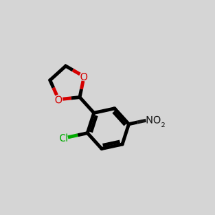 O=[N+]([O-])c1ccc(Cl)c(C2OCCO2)c1